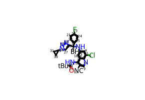 B[C@](Nc1cc(Cl)c2ncc(C#N)c(NC(=O)C(C)(C)C)c2c1)(c1ccc(F)cc1)c1cn(C2CC2)nn1